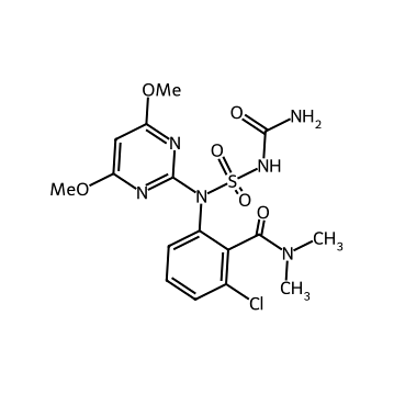 COc1cc(OC)nc(N(c2cccc(Cl)c2C(=O)N(C)C)S(=O)(=O)NC(N)=O)n1